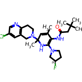 CC1=CC(C)(N2CCc3ncc(Cl)cc3C2)NC(N2CC[C@@H](F)C2)=C1NC(=O)CC(C)(C)C